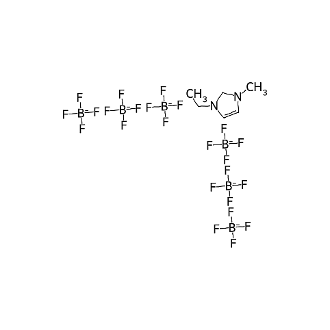 CCN1C=CN(C)C1.F[B-](F)(F)F.F[B-](F)(F)F.F[B-](F)(F)F.F[B-](F)(F)F.F[B-](F)(F)F.F[B-](F)(F)F